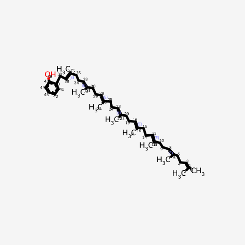 CC(C)=CCC/C(C)=C/CC/C(C)=C/CC/C(C)=C/CC/C(C)=C/CC/C(C)=C/CC/C(C)=C/CC/C(C)=C/Cc1ccccc1O